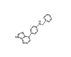 c1ccc(CNc2ccc(-c3ccnc4[nH]ccc34)cc2)cc1